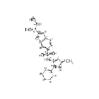 Cc1cc(NS(=O)(=O)c2ccc3cc(C(O)NO)oc3c2)n(C2CCCCC2)n1